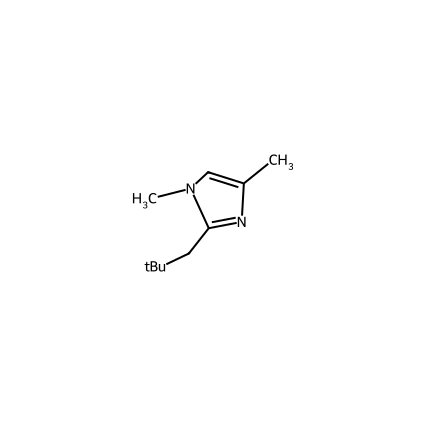 Cc1cn(C)c(CC(C)(C)C)n1